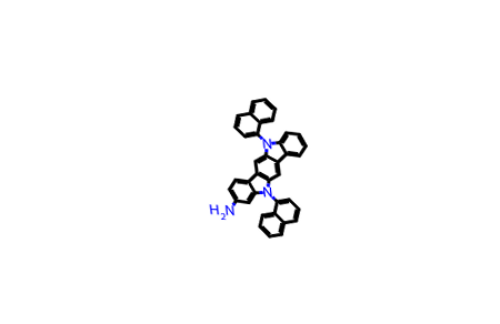 Nc1ccc2c3cc4c(cc3n(-c3cccc5ccccc35)c2c1)c1ccccc1n4-c1cccc2ccccc12